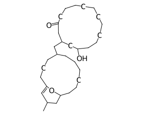 CC1C=C2CCCC(CC3CC(=O)CCCCCCCCCCC(O)C3)CCCCCCC(C1)O2